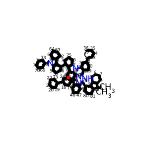 CC1(C)C2=C(CCC=C2)c2c(C3=NC(c4ccc(-c5ccccc5)cc4)=NC(c4ccc(-c5ccccc5)cc4-n4c5cc(-c6ccccc6)ccc5c5c(-c6cccc7c6c6ccccc6n7-c6ccccc6)cccc54)N3)cccc21